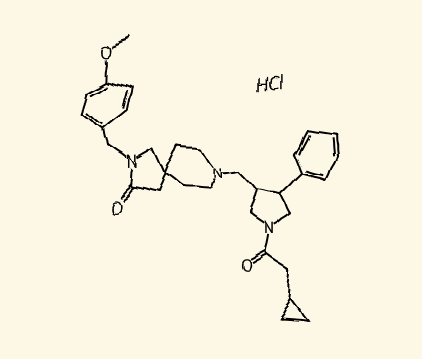 COc1ccc(CN2CC3(CCN(CC4CN(C(=O)CC5CC5)CC4c4ccccc4)CC3)CC2=O)cc1.Cl